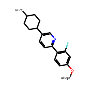 CCCCCCCCC1CCC(c2ccc(-c3ccc(OCCCCCCC)cc3F)nc2)CC1